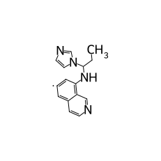 CCC(Nc1c[c]cc2ccncc12)n1ccnc1